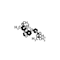 COc1ncc(N2CCOc3ccc(O[C@H]4CCN(C(=O)OC(C)(C)C)C4)c(C)c32)cc1C